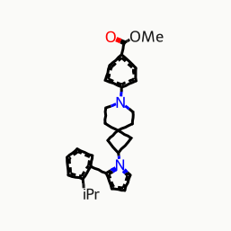 COC(=O)c1ccc(N2CCC3(CC2)CC(n2cccc2-c2ccccc2C(C)C)C3)cc1